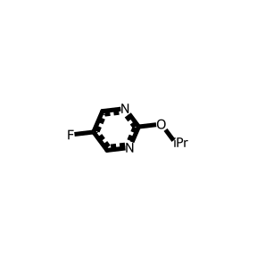 CC(C)Oc1ncc(F)cn1